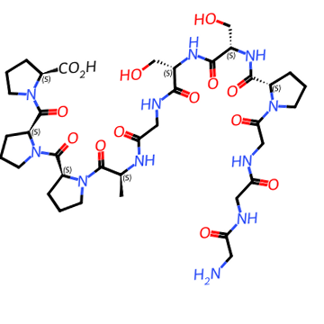 C[C@H](NC(=O)CNC(=O)[C@H](CO)NC(=O)[C@H](CO)NC(=O)[C@@H]1CCCN1C(=O)CNC(=O)CNC(=O)CN)C(=O)N1CCC[C@H]1C(=O)N1CCC[C@H]1C(=O)N1CCC[C@H]1C(=O)O